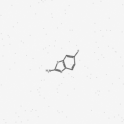 Nc1nc2[c]cc(F)cc2s1